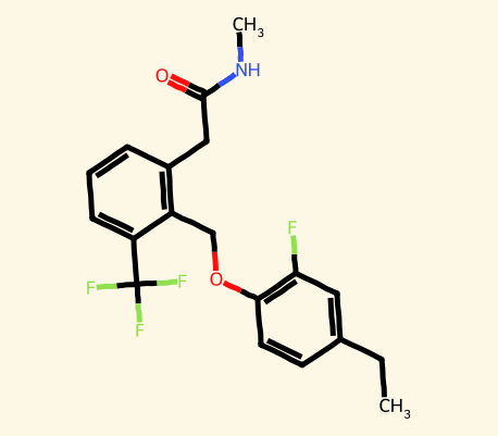 CCc1ccc(OCc2c(CC(=O)NC)cccc2C(F)(F)F)c(F)c1